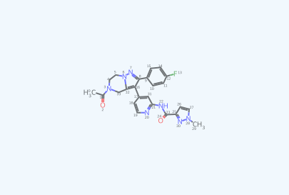 CC(=O)N1CCn2nc(-c3ccc(F)cc3)c(-c3ccnc(NC(=O)c4ccn(C)n4)c3)c2C1